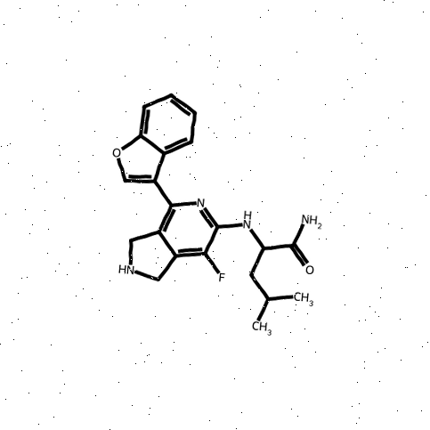 CC(C)CC(Nc1nc(-c2coc3ccccc23)c2c(c1F)CNC2)C(N)=O